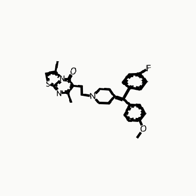 COc1ccc(C(=C2CCN(CCc3c(C)nc4scc(C)n4c3=O)CC2)c2ccc(F)cc2)cc1